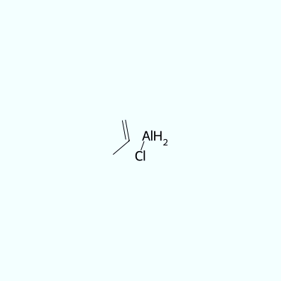 C=CC.[AlH2][Cl]